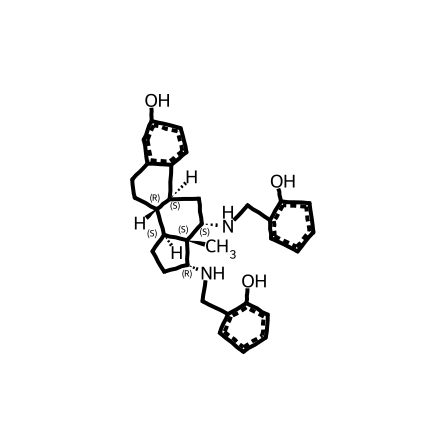 C[C@]12[C@@H](NCc3ccccc3O)C[C@@H]3c4ccc(O)cc4CC[C@H]3[C@@H]1CC[C@H]2NCc1ccccc1O